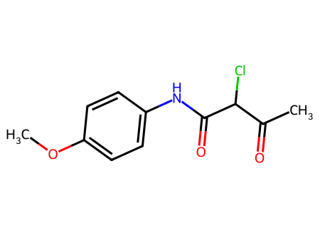 COc1ccc(NC(=O)C(Cl)C(C)=O)cc1